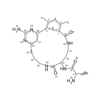 Cc1cc(C)c2cc1C(=O)NCCC(NC(=O)C(N)C(C)C)C(=O)NCCSc1cc-2nc(N)n1